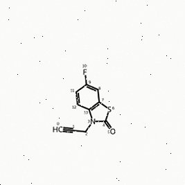 C#CCn1c(=O)sc2cc(F)ccc21